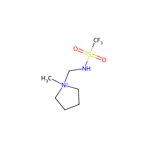 C[N+]1(CNS(=O)(=O)C(F)(F)F)CCCC1